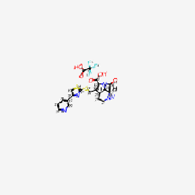 O=C(O)C(F)(F)F.O=C(O)C1=C(CSc2nc(-c3cccnc3)cs2)C2CCN[C@@H]3C(=O)N1[C@H]23